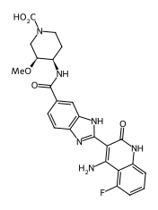 CO[C@H]1CN(C(=O)O)CC[C@H]1NC(=O)c1ccc2nc(-c3c(N)c4c(F)cccc4[nH]c3=O)[nH]c2c1